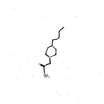 CCCCC1CCN(CC(N)=O)CC1